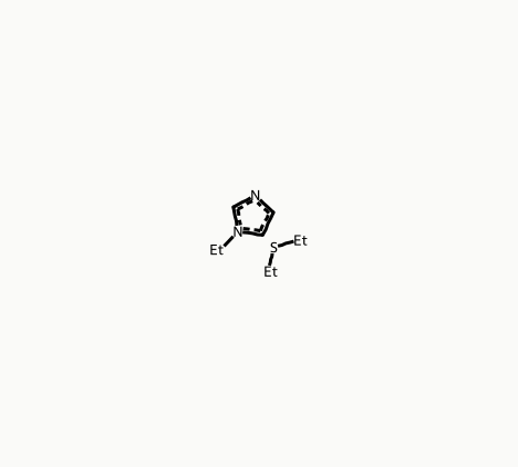 CCSCC.CCn1ccnc1